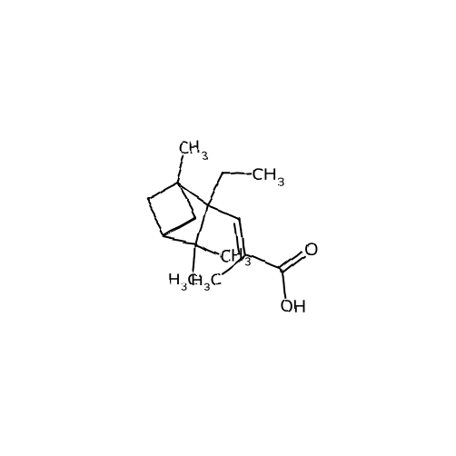 CCC1(C=C(C)C(=O)O)C2(C)CC(C2)C1(C)C